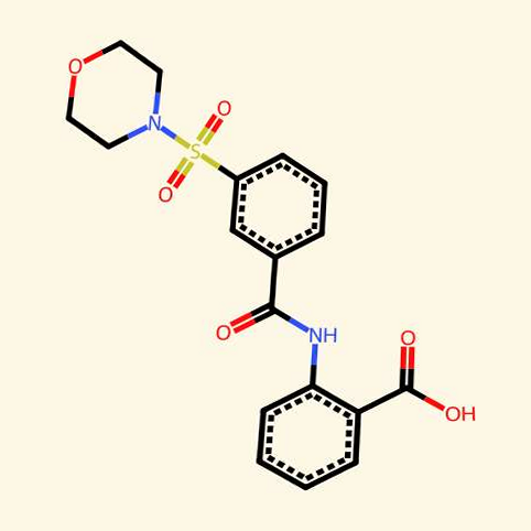 O=C(Nc1ccccc1C(=O)O)c1cccc(S(=O)(=O)N2CCOCC2)c1